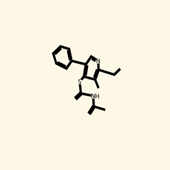 C=C(C)NC(=C)Sc1c(-c2ccccc2)cnc(CC)c1C